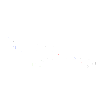 CS/C(=N\C#N)Nc1cc(Cl)c(-c2ccc(OCC3CN(C(=O)OC(C)(C)C)C3)cc2)c(C(F)(F)F)c1